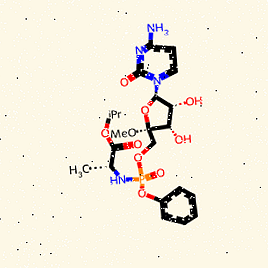 CO[C@]1(COP(=O)(N[C@H](C)C(=O)OC(C)C)Oc2ccccc2)O[C@@H](n2ccc(N)nc2=O)[C@H](O)[C@@H]1O